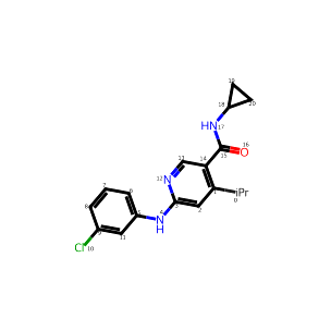 CC(C)c1cc(Nc2cccc(Cl)c2)ncc1C(=O)NC1CC1